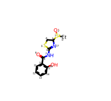 CC[S+]([O-])C1CSC(NC(=O)c2ccccc2O)=N1